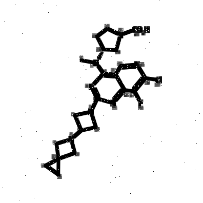 CN(c1nc(N2CC(N3CC4(CC4)C3)C2)nc2c(F)c(Cl)ncc12)[C@@H]1CCN(C(=O)O)C1